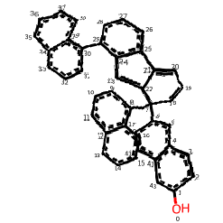 Oc1ccc2cc(C3(c4cccc5ccccc45)C=CC=C4C3=Cc3c4cccc3-c3cccc4ccccc34)ccc2c1